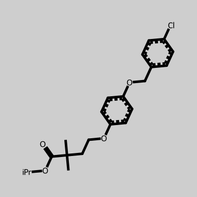 CC(C)OC(=O)C(C)(C)CCOc1ccc(OCc2ccc(Cl)cc2)cc1